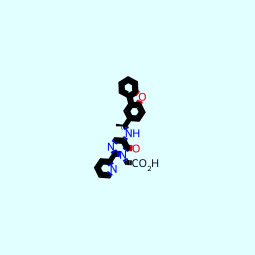 C[C@H](Nc1cnc(-c2ccccn2)n(CC(=O)O)c1=O)c1ccc2oc3ccccc3c2c1